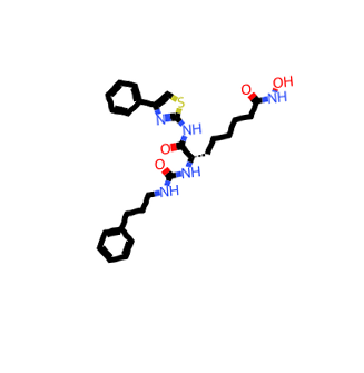 O=C(CCCCC[C@H](NC(=O)NCCCc1ccccc1)C(=O)Nc1nc(-c2ccccc2)cs1)NO